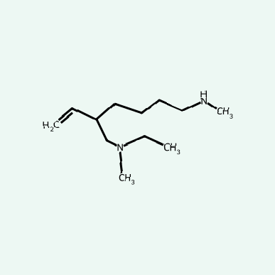 C=CC(CCCCNC)CN(C)CC